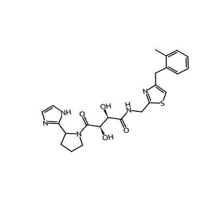 Cc1ccccc1Cc1csc(CNC(=O)[C@H](O)[C@@H](O)C(=O)N2CCCC2c2ncc[nH]2)n1